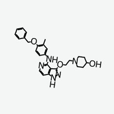 Cc1cc(Nc2nccc3[nH]nc(OCCN4CCC(O)CC4)c23)ccc1OCc1ccccc1